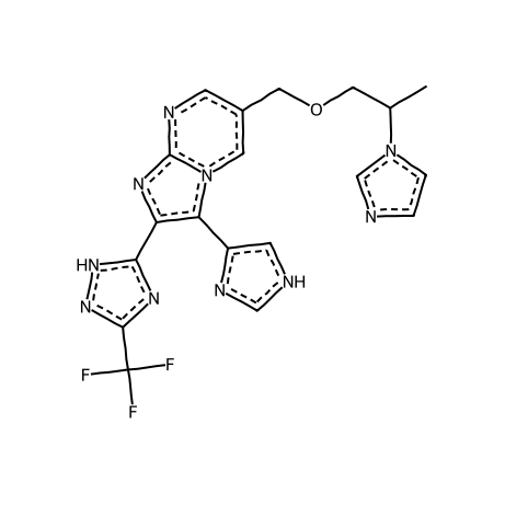 CC(COCc1cnc2nc(-c3nc(C(F)(F)F)n[nH]3)c(-c3c[nH]cn3)n2c1)n1ccnc1